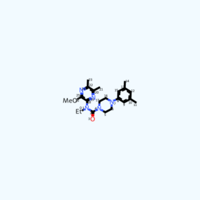 CCN(C(=O)N1CCN(c2cc(C)cc(C)c2)CC1)c1nc(C)c(C)nc1OC